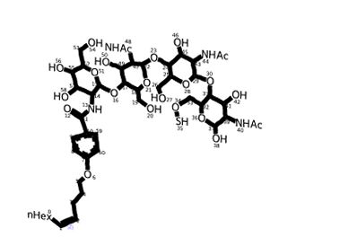 CCCCCC/C=C\CCCOc1ccc(C(=O)NC2C(OC3C(CO)OC(OC4C(CO)OC(OC5C(COS)OC(O)C(NC(C)=O)C5O)C(NC(C)=O)C4O)C(NC(C)=O)C3O)OC(CO)C(O)C2O)cc1